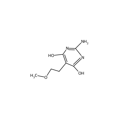 COCCc1c(O)nc(N)nc1O